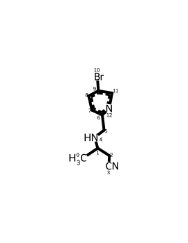 CC(CC#N)NCc1ccc(Br)cn1